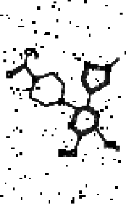 COc1nc(N2CCN(C(=O)C(F)(F)F)CC2)c(-c2cnn(C)c2)cc1N